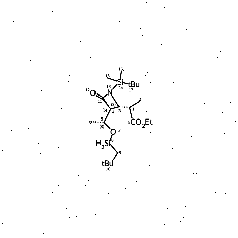 CCOC(=O)C(C)[C@@H]1[C@@H]([C@@H](C)O[SiH2]CC(C)(C)C)C(=O)N1[Si](C)(C)C(C)(C)C